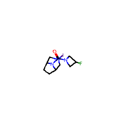 O=C(N1CC(F)C1)N1C2CCC1CN(I)C2